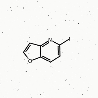 Ic1ccc2occc2n1